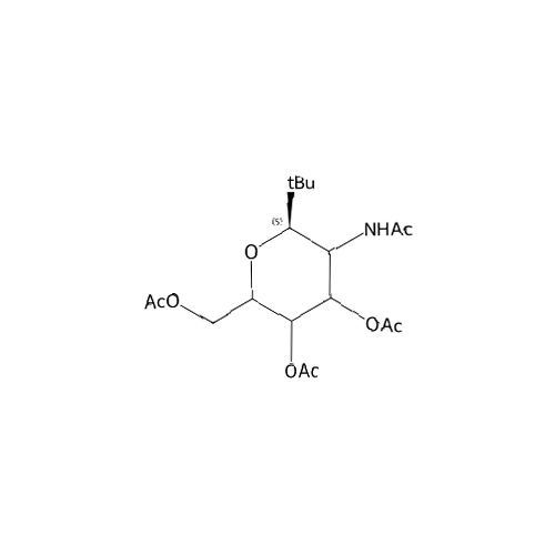 CC(=O)NC1C(OC(C)=O)C(OC(C)=O)C(COC(C)=O)O[C@H]1C(C)(C)C